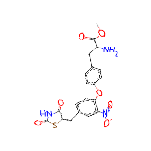 COC(=O)C(N)Cc1ccc(Oc2ccc(CC3SC(=O)NC3=O)cc2[N+](=O)[O-])cc1